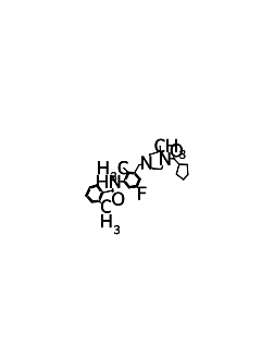 Cc1ccccc1C(=O)Nc1cc(F)cc(CN2CCN(C(=O)C3CCCC3)C(C)C2)c1C